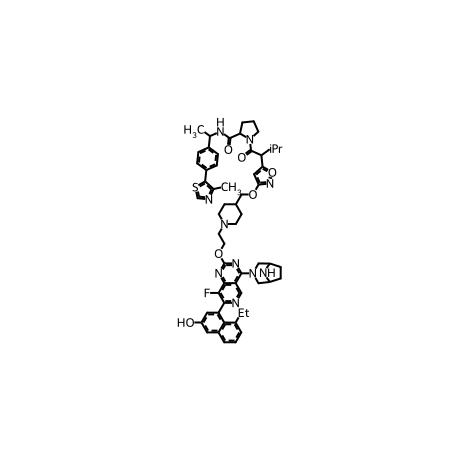 CCc1cccc2cc(O)cc(-c3ncc4c(N5CC6CCC(C5)N6)nc(OCCN5CCC(COc6cc(C(C(=O)N7CCCC7C(=O)NC(C)c7ccc(-c8scnc8C)cc7)C(C)C)on6)CC5)nc4c3F)c12